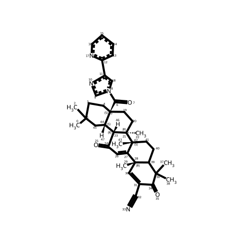 CC1(C)CC[C@]2(C(=O)n3cnc(-c4ccccn4)c3)CC[C@]3(C)[C@H](C(=O)C=C4[C@@]5(C)C=C(C#N)C(=O)C(C)(C)C5CC[C@]43C)[C@@H]2C1